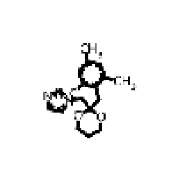 Cc1cc(C)c(CC2(Cn3ccnc3)OCCCO2)c(C)c1